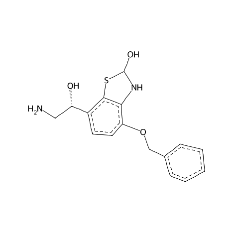 NC[C@H](O)c1ccc(OCc2ccccc2)c2c1SC(O)N2